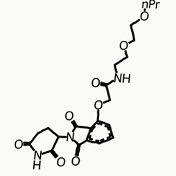 CCCOCCOCCNC(=O)COc1cccc2c1C(=O)N(C1CCC(=O)NC1=O)C2=O